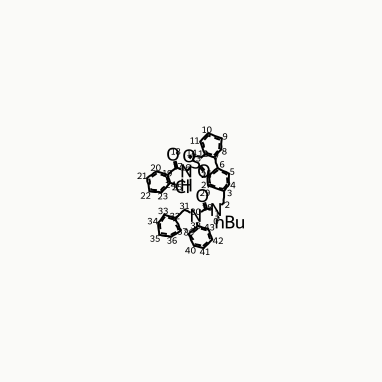 CCCCN(Cc1ccc(-c2ccccc2S(=O)(=O)NC(=O)c2ccccc2Cl)cc1)C(=O)N(Cc1ccccc1)c1ccccc1